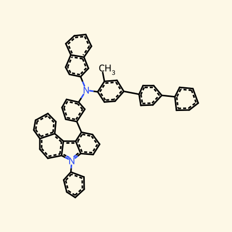 Cc1cc(-c2ccc(-c3ccccc3)cc2)ccc1N(c1cccc(-c2cccc3c2c2c4ccccc4ccc2n3-c2ccccc2)c1)c1ccc2ccccc2c1